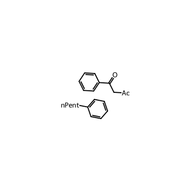 CC(=O)CC(=O)c1ccccc1.CCCCCc1ccccc1